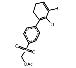 CC(=O)OCS(=O)(=O)c1ccc(C2=C(Cl)C(Cl)=C[CH]C2)cc1